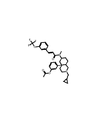 CC(=O)Oc1cccc(C23CCN(CC4CC4)CC2CCC(N(C)C(=O)/C=C/c2cccc(OC(F)(F)F)c2)C3)c1